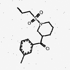 CCCS(=O)(=O)N1CCCC(C(=O)c2cccc(C)c2)C1